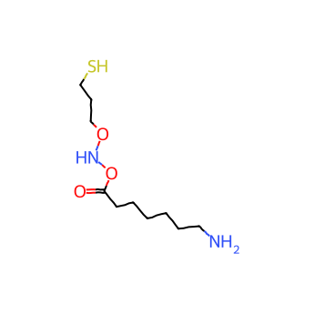 NCCCCCCC(=O)ONOCCCS